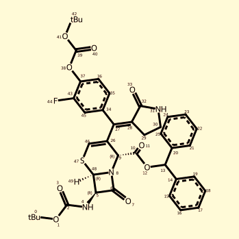 CC(C)(C)OC(=O)N[C@@H]1C(=O)N2[C@@H](C(=O)OC(c3ccccc3)c3ccccc3)C(C(=C3CCNC3=O)c3ccc(OC(=O)OC(C)(C)C)c(F)c3)=CS[C@H]12